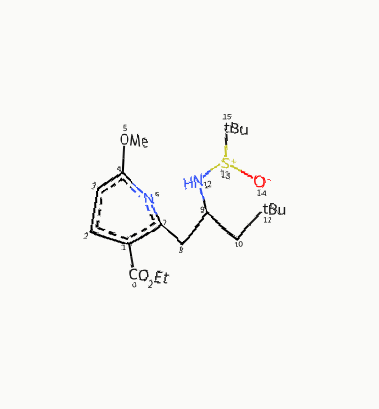 CCOC(=O)c1ccc(OC)nc1CC(CC(C)(C)C)N[S+]([O-])C(C)(C)C